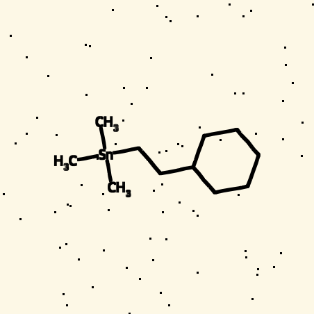 [CH3][Sn]([CH3])([CH3])[CH2]CC1CCCCC1